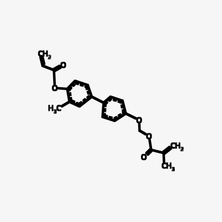 C=CC(=O)Oc1ccc(-c2ccc(OCOC(=O)C(=C)C)cc2)cc1C